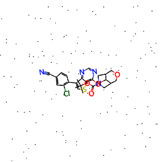 CC(C)(C)OC(=O)N1CC2COCC(C1)C2Oc1ncnc2c(-c3ccc(C#N)cc3Cl)csc12